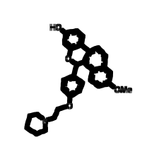 COc1ccc2c3c(ccc2c1)-c1ccc(O)cc1OC3c1ccc(OCCN2CCCCC2)cc1